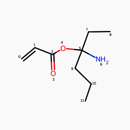 C=CC(=O)OC(N)(CC)CCC